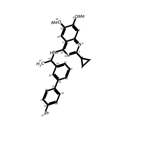 COc1cc2nc(C3CC3)nc(NC(C)c3cccc(-c4ccc(C(C)C)cc4)c3)c2cc1OC